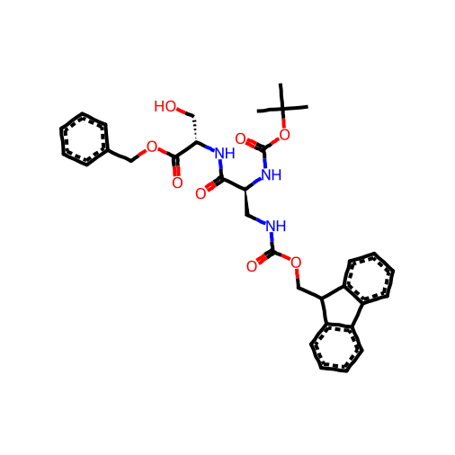 CC(C)(C)OC(=O)N[C@@H](CNC(=O)OCC1c2ccccc2-c2ccccc21)C(=O)N[C@@H](CO)C(=O)OCc1ccccc1